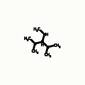 CN[SiH](N(C)C)N(C)C